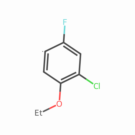 CCOc1c[c]c(F)cc1Cl